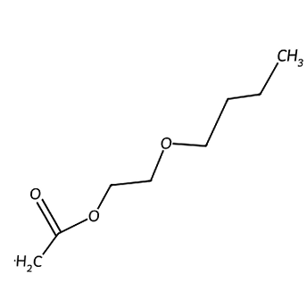 [CH2]C(=O)OCCOCCCC